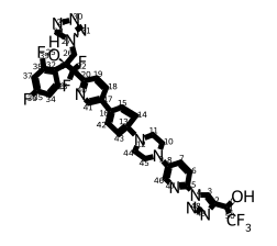 OC(c1cn(-c2ccc(N3CCN(c4ccc(-c5ccc(C(F)(F)[C@](O)(Cn6cnnn6)c6ccc(F)cc6F)nc5)cc4)CC3)cn2)nn1)C(F)(F)F